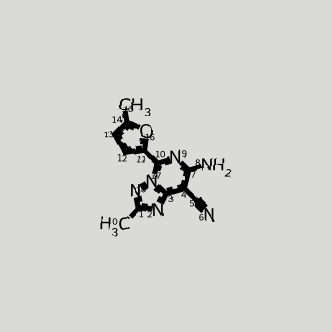 Cc1nc2c(C#N)c(N)nc(-c3ccc(C)o3)n2n1